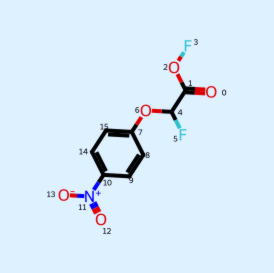 O=C(OF)C(F)Oc1ccc([N+](=O)[O-])cc1